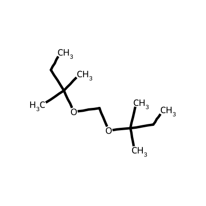 CCC(C)(C)OCOC(C)(C)CC